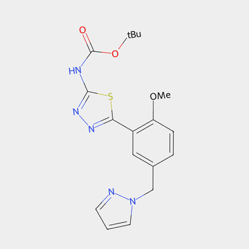 COc1ccc(Cn2cccn2)cc1-c1nnc(NC(=O)OC(C)(C)C)s1